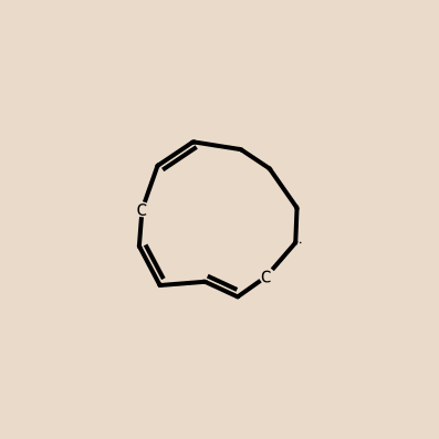 [CH]1C/C=C/C=C\C/C=C\CCC1